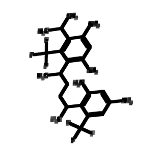 CC(C)c1c(N)cc(N)c(C(C)CCC(C)c2c(N)cc(N)cc2C(F)(F)F)c1C(F)(F)F